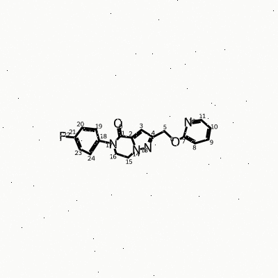 O=C1c2cc(COc3ccccn3)nn2CCN1c1ccc(F)cc1